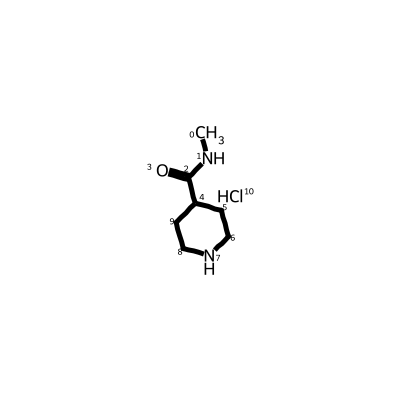 CNC(=O)C1CCNCC1.Cl